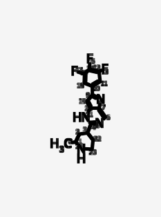 CC1CC(c2ncc3nc(-c4cc(F)c(F)c(F)c4)cc-3[nH]2)CCN1